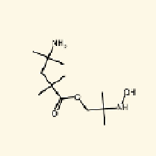 CC(C)(N)CC(C)(C)C(=O)OCC(C)(C)NO